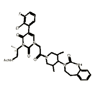 CC(=O)NC[C@H](C)n1c(=O)c(-c2cccc(F)c2Cl)cn(CC(=O)N2CC(C)C(N3CCc4ccccc4NC3=O)C(C)C2)c1=O